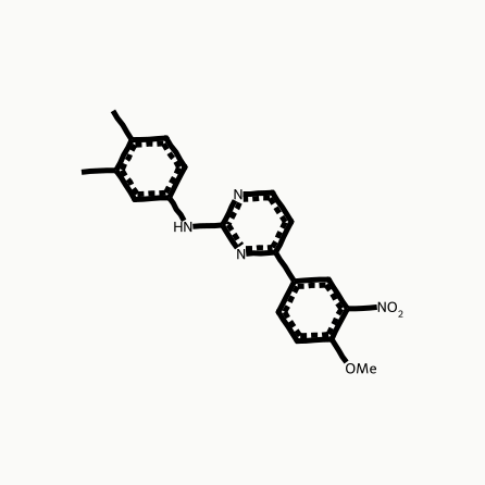 COc1ccc(-c2ccnc(Nc3ccc(C)c(C)c3)n2)cc1[N+](=O)[O-]